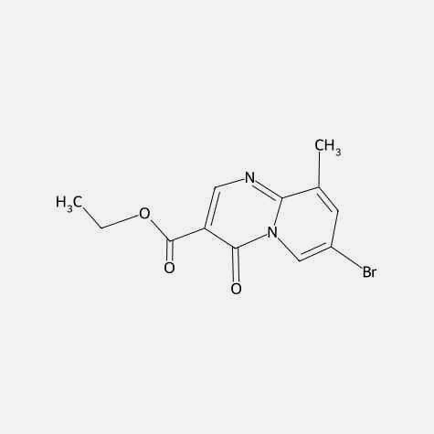 CCOC(=O)c1cnc2c(C)cc(Br)cn2c1=O